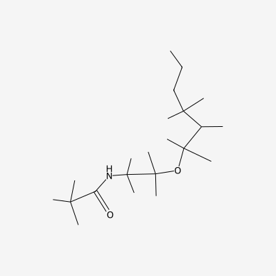 CCCC(C)(C)C(C)C(C)(C)OC(C)(C)C(C)(C)NC(=O)C(C)(C)C